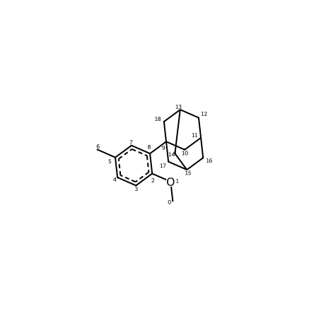 COc1ccc(C)cc1C12CC3CC(CC(C3)C1)C2